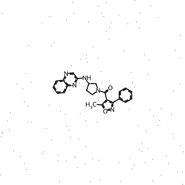 Cc1onc(-c2ccccc2)c1C(=O)N1CCC(Nc2cnc3ccccc3n2)C1